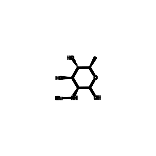 C[C@H]1OC(O)[C@@H](NC(C)(C)C)[C@@H](O)[C@@H]1O